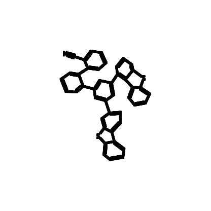 N#Cc1ccccc1-c1ccccc1-c1cc(-c2ccc3c(c2)sc2ccccc23)cc(-c2cccc3sc4ccccc4c23)c1